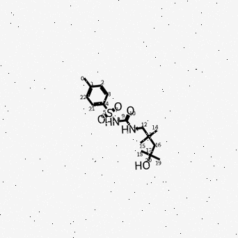 Cc1ccc(S(=O)(=O)NC(=O)NCC(C)(C)CC(C)(C)O)cc1